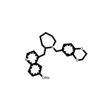 COc1ccc2nccc([CH]C3CCCCCN3Cc3ccc4c(c3)OCCO4)c2c1